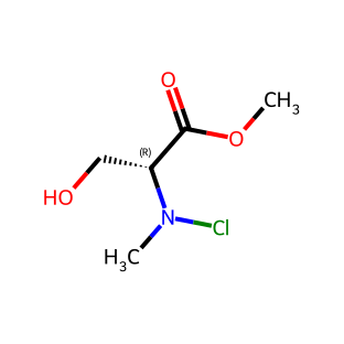 COC(=O)[C@@H](CO)N(C)Cl